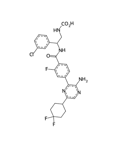 Nc1ncc(C2CCC(F)(F)CC2)nc1-c1ccc(C(=O)NC(CNC(=O)O)c2cccc(Cl)c2)c(F)c1